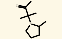 CC(=O)C(C)(C)N1CCCC1C